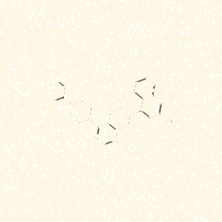 C=CC(=O)N1CCN(c2ncnc3c2CC[C@@H](c2cc(O)cc4ccccc24)C3)CC1